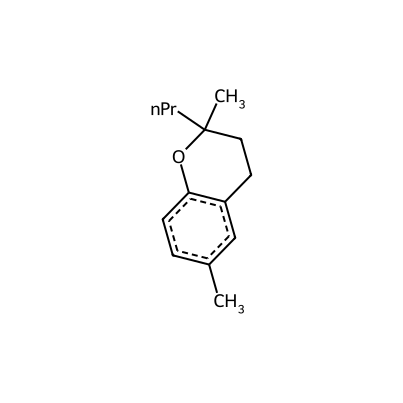 CCCC1(C)CCc2cc(C)ccc2O1